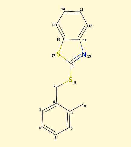 Cc1ccccc1CSc1nc2ccccc2s1